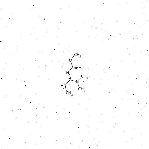 CN/C(=N/C(=O)OC)N(C)C